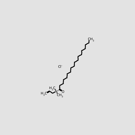 C=CC[N+](C)(C)C(=O)CCCCCCCCCCCCCCCCC.[Cl-]